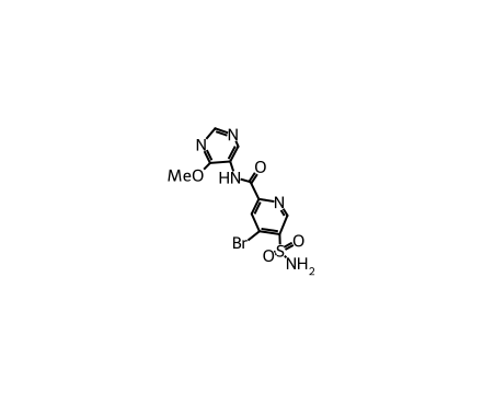 COc1ncncc1NC(=O)c1cc(Br)c(S(N)(=O)=O)cn1